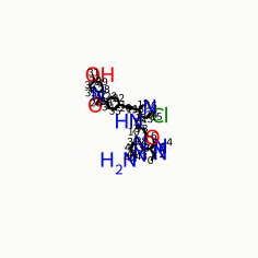 Cc1nn(C)c(OCC[C@H](C)Nc2cc(Cl)ncc2C#Cc2ccc(C(=O)N3CCC(O)CC3)cc2)c1-c1nccc(N)n1